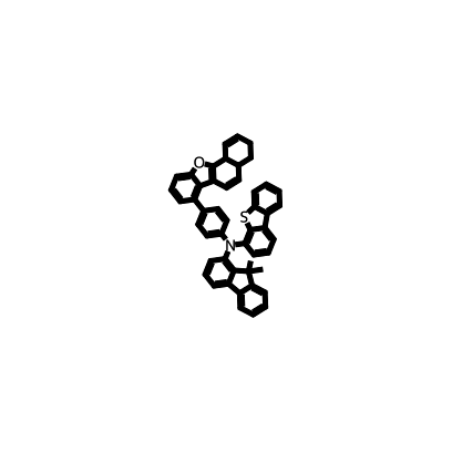 CC1(C)c2ccccc2-c2cccc(N(c3ccc(-c4cccc5oc6c(c45)C=CC4CCC=CC64)cc3)c3cccc4c3sc3ccccc34)c21